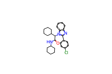 O=C(NC1CCCCC1)C(C1CCCCC1)n1c(-c2ccc(Cl)cc2)nc2ccccc21